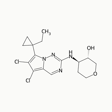 CCC1(c2c(Cl)c(Cl)c3cnc(N[C@@H]4CCOC[C@H]4O)nn23)CC1